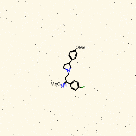 CO/N=C(\CCN1CCC(c2ccc(OC)cc2)C1)c1ccc(F)cc1